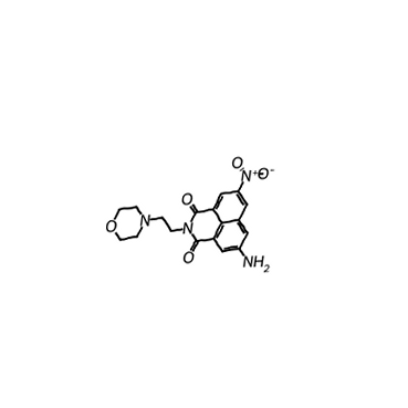 Nc1cc2c3c(cc([N+](=O)[O-])cc3c1)C(=O)N(CCN1CCOCC1)C2=O